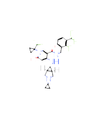 C[C@@H](NC(=O)c1cn(C2(C(F)F)CC2)c(=O)cc1N[C@@H]1[C@@H]2CN(C3CC3)C[C@@H]21)c1cccc(C(F)F)c1F